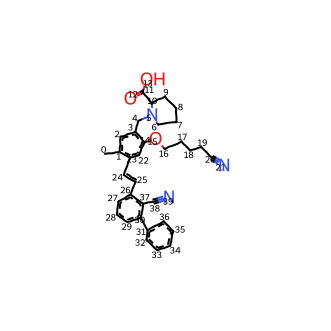 Cc1cc(CN2CCCCC2C(=O)O)c(OCCCCC#N)cc1C=Cc1cccc(-c2ccccc2)c1C#N